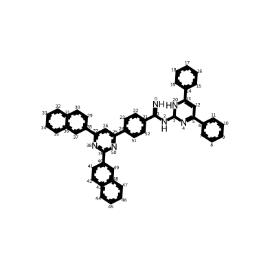 N=C(NC1N=C(c2ccccc2)C=C(c2ccccc2)N1)c1ccc(-c2cc(-c3ccc4ccccc4c3)nc(-c3ccc4ccccc4c3)n2)cc1